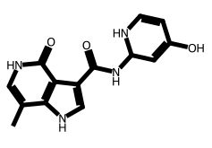 Cc1c[nH]c(=O)c2c(C(=O)NC3C=C(O)C=CN3)c[nH]c12